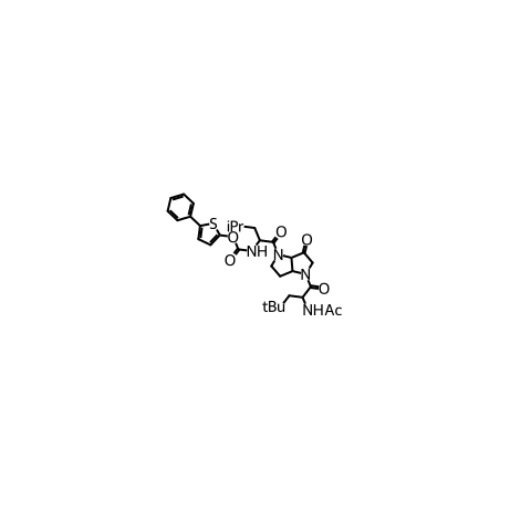 CC(=O)NC(CC(C)(C)C)C(=O)N1CC(=O)C2C1CCN2C(=O)C(CC(C)C)NC(=O)Oc1ccc(-c2ccccc2)s1